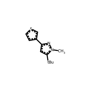 Cn1nc(-c2ccsc2)cc1C(C)(C)C